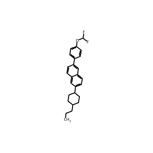 CCCC1CCC(c2ccc3cc(-c4ccc(OC(F)F)cc4)ccc3c2)CC1